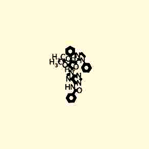 CC1(C)O[C@@H]2[C@H](O1)[C@@H](C1N(c3ccccc3)CCN1c1ccccc1)O[C@H]2n1cnc2c(NC(=O)c3ccccc3)ncnc21